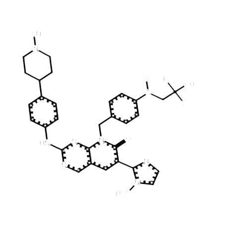 CN1CCC(c2ccc(Nc3ncc4cc(-c5nccn5C)c(=O)n(Cc5ccc([S+]([O-])CC(C)(F)F)cc5)c4n3)cc2)CC1